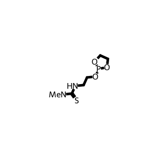 CNC(=S)NCCOP1OCCO1